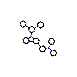 c1ccc(-c2cc(-c3ccccc3)nc(-n3c4ccccc4c4cc(-c5cccc(N(c6ccccc6)c6ccccc6)c5)ccc43)n2)cc1